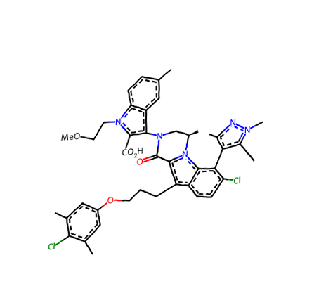 COCCn1c(C(=O)O)c(N2C[C@@H](C)n3c(c(CCCOc4cc(C)c(Cl)c(C)c4)c4ccc(Cl)c(-c5c(C)nn(C)c5C)c43)C2=O)c2cc(C)ccc21